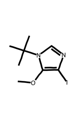 COc1c(I)ncn1C(C)(C)C